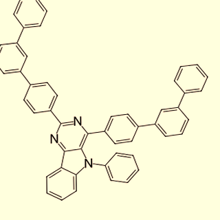 c1ccc(-c2cccc(-c3ccc(-c4nc(-c5ccc(-c6cccc(-c7ccccc7)c6)cc5)c5c(n4)c4ccccc4n5-c4ccccc4)cc3)c2)cc1